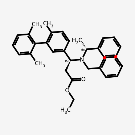 CCOC(=O)C[C@@H](c1ccc(C)c(-c2c(C)cccc2C)c1)N(Cc1ccccc1)[C@H](C)c1ccccc1